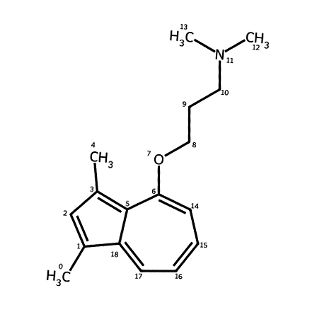 Cc1cc(C)c2c(OCCCN(C)C)ccccc1-2